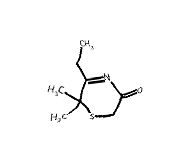 CCC1=NC(=O)CSC1(C)C